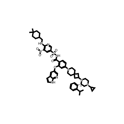 CC(C)c1ccccc1[C@H]1CN(C2CC2)CCN1C1CC2(CCN(c3ccc(C(=O)NS(=O)(=O)c4cnc(NCC5CCC(C)(C)CC5)c([N+](=O)[O-])c4)c(Oc4cnc5[nH]ccc5c4)c3)CC2)C1